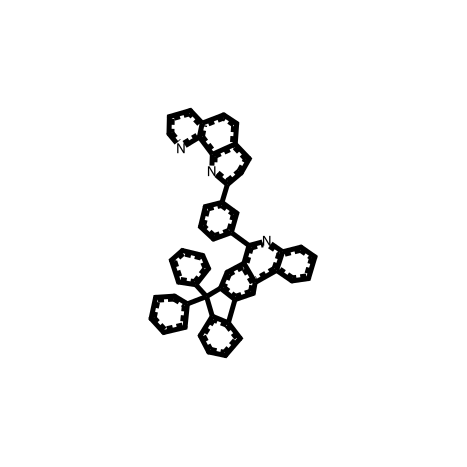 c1ccc(C2(c3ccccc3)c3ccccc3-c3cc4c(cc32)c(-c2cccc(-c3ccc5ccc6cccnc6c5n3)c2)nc2ccccc24)cc1